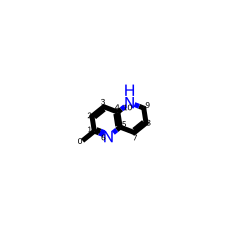 Cc1ccc2c(n1)C=CCN2